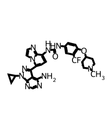 CN1CCC(Oc2ccc(NC(=O)Nc3ccc(-c4nn(C5CC5)c5ncnc(N)c45)n4ccnc34)cc2C(F)(F)F)CC1